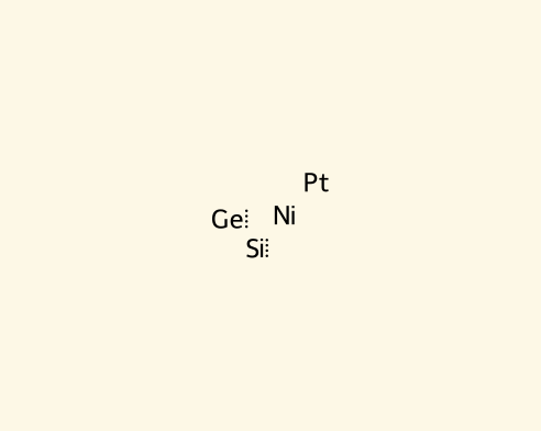 [Ge].[Ni].[Pt].[Si]